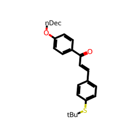 CCCCCCCCCCOc1ccc(C(=O)C=Cc2ccc(SC(C)(C)C)cc2)cc1